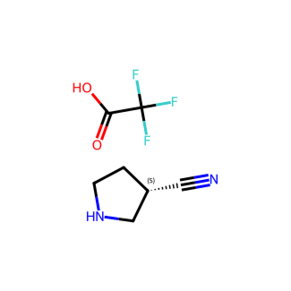 N#C[C@H]1CCNC1.O=C(O)C(F)(F)F